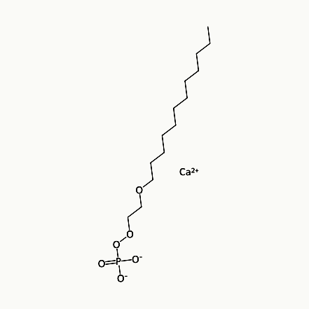 CCCCCCCCCCCCOCCOOP(=O)([O-])[O-].[Ca+2]